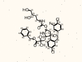 CC(C)(C[C@@H]1N[C@H](OC(=O)NCC[C@H](O)CO)[C@H](c2cccc(Cl)c2F)[C@@]1(C#N)c1ccc(Cl)cc1F)C(=O)OCc1ccccc1